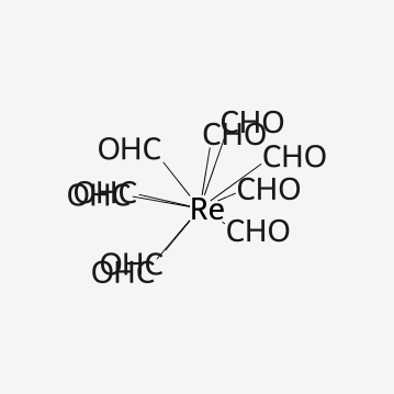 O=[CH][Re]([CH]=O)([CH]=O)([CH]=O)([CH]=O)([CH]=O)([CH]=O)([CH]=O)([CH]=O)[CH]=O